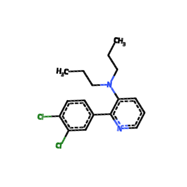 CCCN(CCC)c1cccnc1-c1ccc(Cl)c(Cl)c1